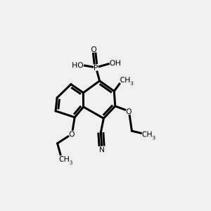 CCOc1c(C)c(P(=O)(O)O)c2cccc(OCC)c2c1C#N